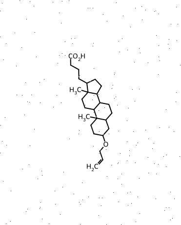 C=CCOC1CCC2(C)C(CCC3C4CCC(CCCC(=O)O)C4(C)CCC32)C1